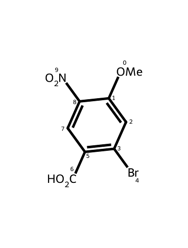 COc1cc(Br)c(C(=O)O)cc1[N+](=O)[O-]